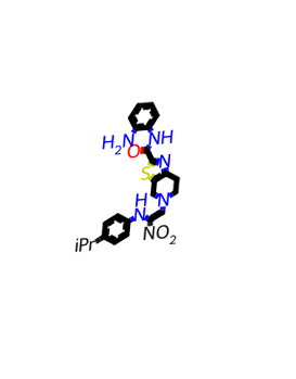 CC(C)c1ccc(NC(=CN2CCc3nc(C(=O)Nc4ccccc4N)sc3C2)[N+](=O)[O-])cc1